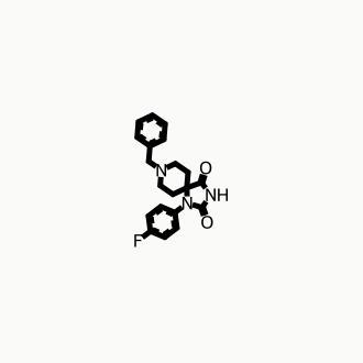 O=C1NC(=O)C2(CCN(Cc3ccccc3)CC2)N1c1ccc(F)cc1